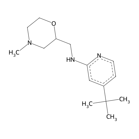 CN1CCOC(CNc2cc(C(C)(C)C)ccn2)C1